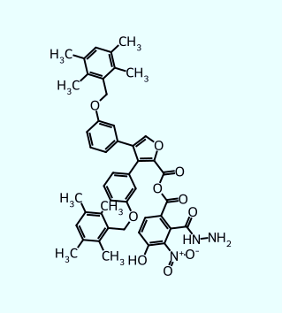 Cc1cc(C)c(C)c(COc2cccc(-c3coc(C(=O)OC(=O)c4ccc(O)c([N+](=O)[O-])c4C(=O)NN)c3-c3cccc(OCc4c(C)c(C)cc(C)c4C)c3)c2)c1C